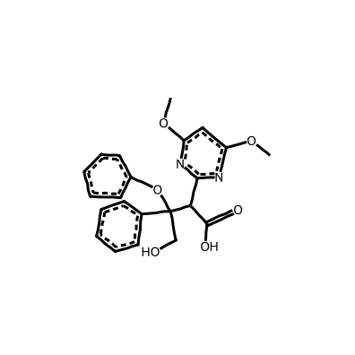 COc1cc(OC)nc(C(C(=O)O)C(CO)(Oc2ccccc2)c2ccccc2)n1